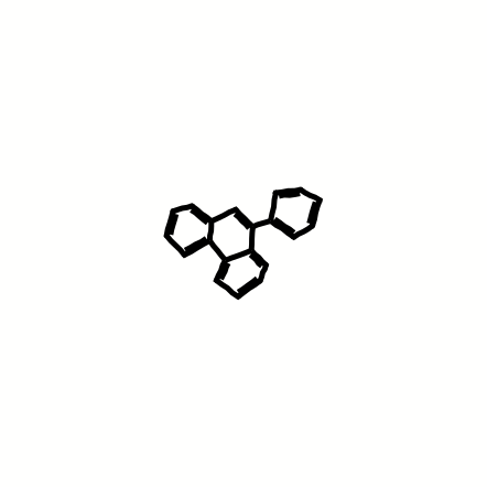 [c]1ccccc1-c1cc2ccccc2c2ccccc12